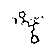 C[C@H](NC(CCc1ccccc1)C(=O)O)C(=O)N1CCC[C@H]1C(=O)O.O.O